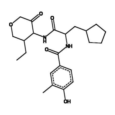 CCC1COCC(=O)C1NC(=O)C(CC1CCCC1)NC(=O)c1ccc(O)c(C)c1